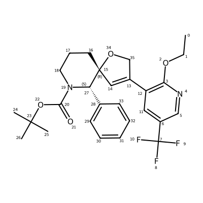 CCOc1ncc(C(F)(F)F)cc1C1=C[C@@]2(CCCN(C(=O)OC(C)(C)C)[C@H]2c2ccccc2)OC1